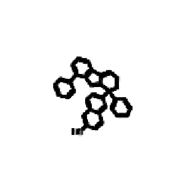 Oc1ccc2cc(C3(c4ccccc4)C=CC=C4C3=Cc3c4cccc3-c3ccccc3)ccc2c1